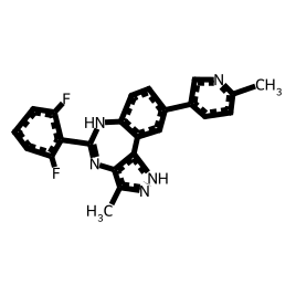 Cc1ccc(-c2ccc3c(c2)-c2[nH]nc(C)c2N=C(c2c(F)cccc2F)N3)cn1